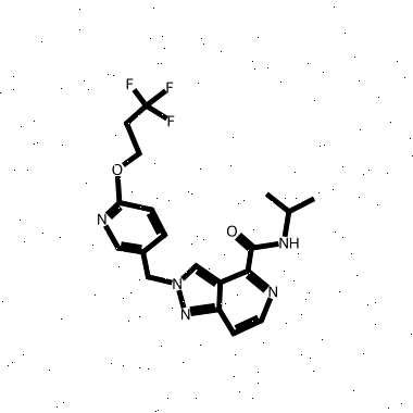 CC(C)NC(=O)c1nccc2nn(Cc3ccc(OCCC(F)(F)F)nc3)cc12